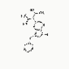 CC(=N)/C(=C(/C)O)c1cnc2c(I)cn(Cc3ccccc3)c2c1